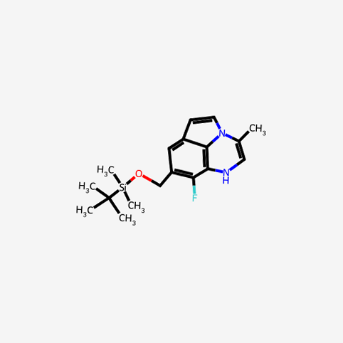 CC1=CNc2c(F)c(CO[Si](C)(C)C(C)(C)C)cc3ccn1c23